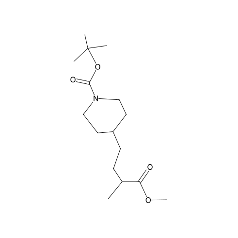 COC(=O)C(C)CCC1CCN(C(=O)OC(C)(C)C)CC1